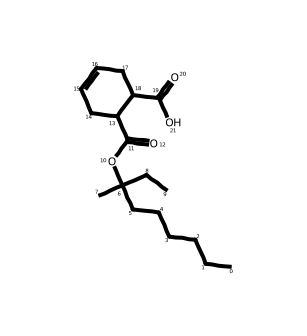 CCCCCCC(C)(CC)OC(=O)C1CC=CCC1C(=O)O